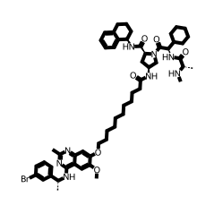 CN[C@@H](C)C(=O)N[C@H](C(=O)N1C[C@@H](NC(=O)CCCCCCCCCCOc2cc3nc(C)nc(N[C@H](C)c4cccc(Br)c4)c3cc2OC)C[C@H]1C(=O)N[C@@H]1CCCc2ccccc21)C1CCCCC1